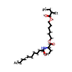 CCC(CC(C)C)C(=O)OCCCCCCOC(=O)C(CC(C)C)NC(=O)CCCCCCCCC(C)=O